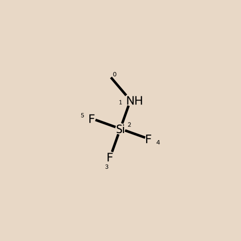 CN[Si](F)(F)F